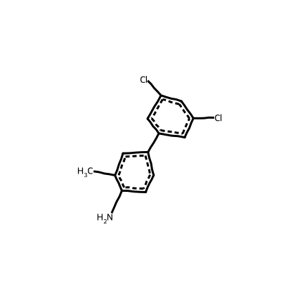 Cc1cc(-c2cc(Cl)cc(Cl)c2)ccc1N